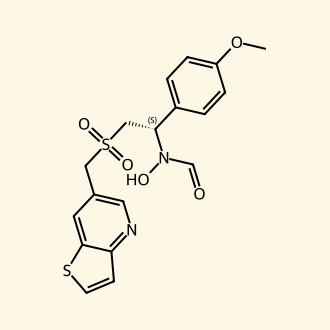 COc1ccc([C@@H](CS(=O)(=O)Cc2cnc3ccsc3c2)N(O)C=O)cc1